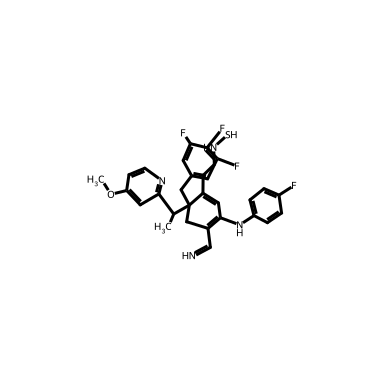 COc1ccnc(C(C)C2(Cc3cc(F)c(F)c(F)c3)CC(C=N)=C(Nc3ccc(F)cc3)C=C2CCNS)c1